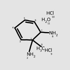 CC1(N)C=CC=CC1N.Cl.Cl.O